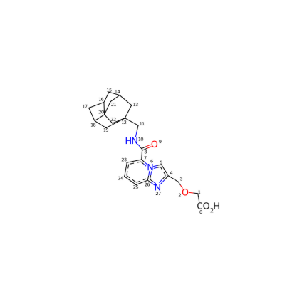 O=C(O)COCc1cn2c(C(=O)NCC34CC5CC6CC(C3)C6(C5)C4)cccc2n1